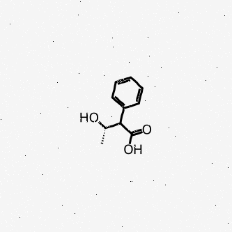 C[C@H](O)C(C(=O)O)c1ccccc1